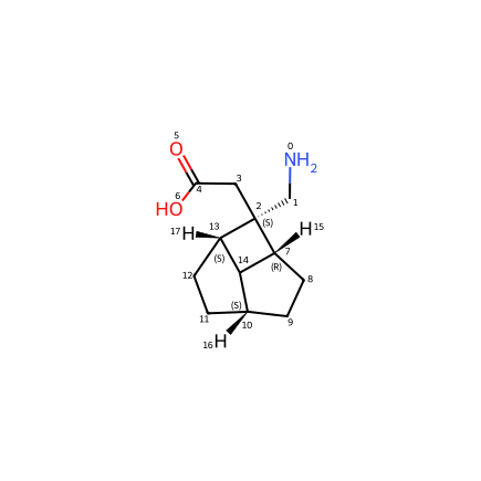 NC[C@]1(CC(=O)O)[C@@H]2CC[C@@H]3CC[C@H]1C32